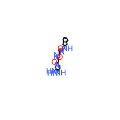 O=C(Cc1nnc(-c2coc(NC3Cc4ccccc4C3)n2)o1)N1CCC2=C(C1)NNN2